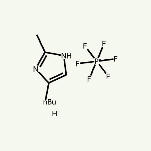 CCCCc1c[nH]c(C)n1.F[P-](F)(F)(F)(F)F.[H+]